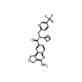 Nc1nc2ccc(C(=O)N(Cc3ccc(C(F)(F)F)cn3)C34CC(C3)C4)cc2c2c1COC2